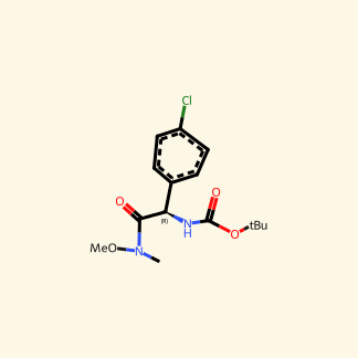 CON(C)C(=O)[C@H](NC(=O)OC(C)(C)C)c1ccc(Cl)cc1